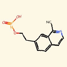 N#Cc1nccc2ccc(CCO[PH](=O)O)cc12